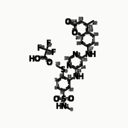 CNS(=O)(=O)c1ccc(SC)c(Nc2cc(Nc3ccc4c(C)cc(=O)oc4c3)ncn2)c1.O=C(O)C(F)(F)F